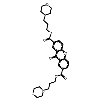 O=C(OCCCN1CCOCC1)c1ccc2oc3ccc(C(=O)OCCCN4CCOCC4)cc3c(=O)c2c1